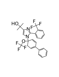 CC(C)(O)c1cn(C2(OC(F)(F)F)C=CC(c3ccccc3)=CC2)c(-c2ccccc2C(F)(F)F)n1